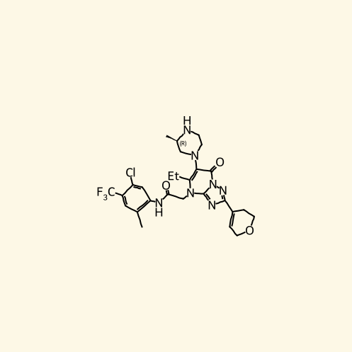 CCc1c(N2CCN[C@H](C)C2)c(=O)n2nc(C3=CCOCC3)nc2n1CC(=O)Nc1cc(Cl)c(C(F)(F)F)cc1C